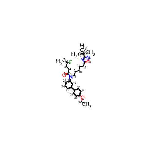 C=C(F)CCC(=O)N(CCCCCc1nc(C(C)(C)C)no1)c1cccc(-c2ccc(OCC)cc2)c1